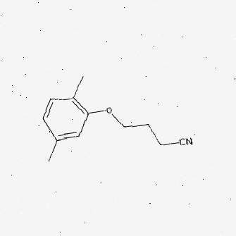 Cc1ccc(C)c(OCCCC#N)c1